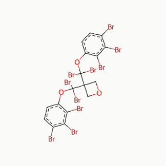 Brc1ccc(OC(Br)(Br)C2(C(Br)(Br)Oc3ccc(Br)c(Br)c3Br)COC2)c(Br)c1Br